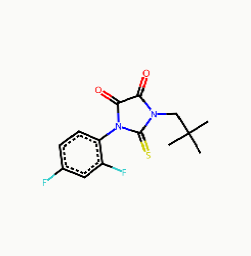 CC(C)(C)CN1C(=O)C(=O)N(c2ccc(F)cc2F)C1=S